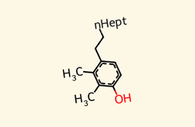 CCCCCCCCCc1ccc(O)c(C)c1C